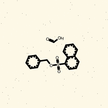 O=CO.O=S(=O)(OCc1ccccc1)c1cccc2ccccc12